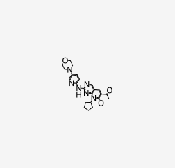 CC(=O)c1cc2cnc(Nc3ccc(N4CCOCC4)cn3)nc2n(C2CCCC2)c1=O